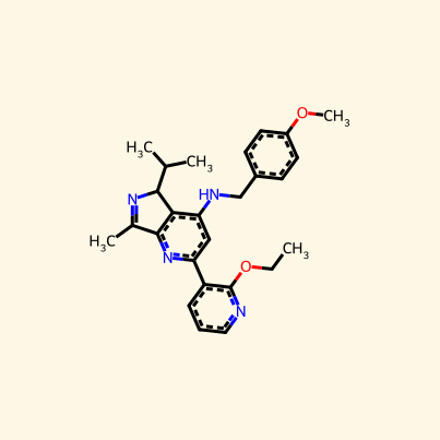 CCOc1ncccc1-c1cc(NCc2ccc(OC)cc2)c2c(n1)C(C)=NC2C(C)C